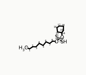 CCCCCCCCCOP(=S)(S)OC1CCCCC1